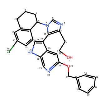 OCCc1ncn(C2CCCc3cc(Cl)ccc32)c1-c1c[nH]c2cnc(OCc3ccccc3)cc12